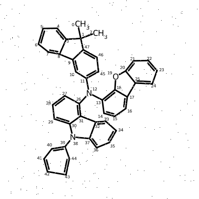 CC1(C)c2ccccc2-c2cc(N(c3cccc4c3oc3ccccc34)c3cccc4c3c3ccccc3n4-c3ccccc3)ccc21